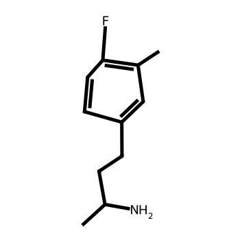 Cc1cc(CCC(C)N)ccc1F